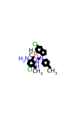 CCc1ccc(N(C(=O)Nc2c(CC)c(N)cc(Cl)c2CC)C2CCc3cc(Cl)ccc32)cc1